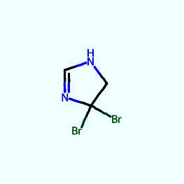 BrC1(Br)CNC=N1